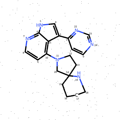 c1cc(-c2c[nH]c3nccc(N4CCC5(CCCCN5)C4)c23)ncn1